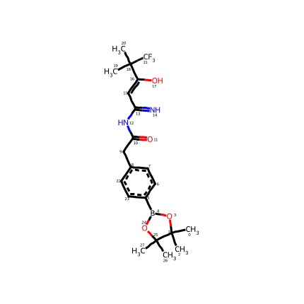 CC1(C)OB(c2ccc(CC(=O)NC(=N)/C=C(\O)C(C)(C)C(F)(F)F)cc2)OC1(C)C